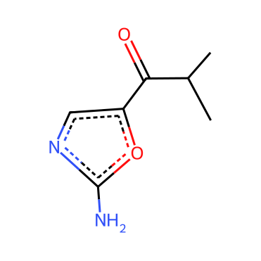 CC(C)C(=O)c1cnc(N)o1